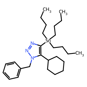 CCC[CH2][Sn]([CH2]CCC)([CH2]CCC)[c]1nnn(Cc2ccccc2)c1C1CCCCC1